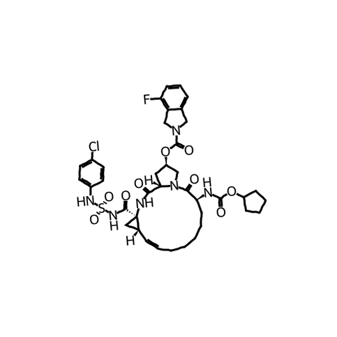 O=C(N[C@H]1CCCCC/C=C\[C@@H]2C[C@@]2(C(=O)NS(=O)(=O)Nc2ccc(Cl)cc2)NC(=O)[C@@H]2C[C@@H](OC(=O)N3Cc4cccc(F)c4C3)CN2C1=O)OC1CCCC1